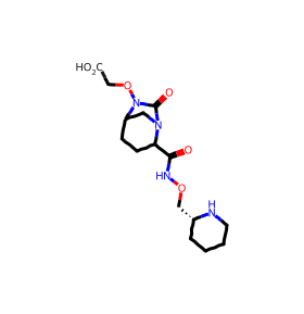 O=C(O)CON1C(=O)N2CC1CCC2C(=O)NOC[C@H]1CCCCN1